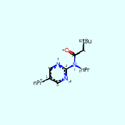 CCCc1cnc(N(CCC)C(=O)CC(C)(C)C)nc1